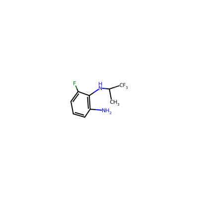 CC(Nc1c(N)cccc1F)C(F)(F)F